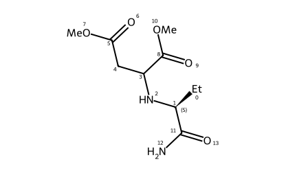 CC[C@H](NC(CC(=O)OC)C(=O)OC)C(N)=O